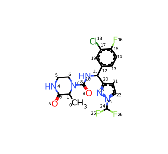 CC1C(=O)NCCN1C(=O)NC(c1ccc(F)c(Cl)c1)c1ccn(C(F)F)n1